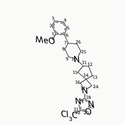 COc1ccccc1C1CCN(C2CCC3(C2)CN(c2noc(C(Cl)(Cl)Cl)n2)C3)CC1